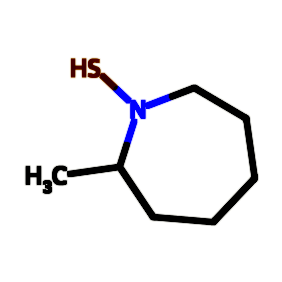 CC1CCCCCN1S